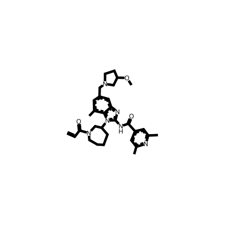 C=CC(=O)N1CCCCC(n2c(NC(=O)c3cc(C)nc(C)c3)nc3cc(CN4CCC(OC)C4)cc(C)c32)C1